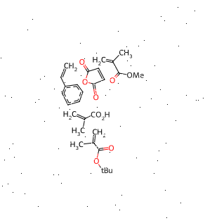 C=C(C)C(=O)O.C=C(C)C(=O)OC.C=C(C)C(=O)OC(C)(C)C.C=Cc1ccccc1.O=C1C=CC(=O)O1